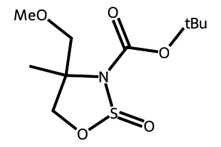 COCC1(C)COS(=O)N1C(=O)OC(C)(C)C